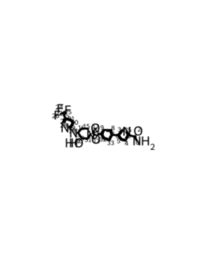 NC(=O)c1ccc(-c2ccc(S(=O)(=O)N3CC[C@@H](Nc4ccc(C(F)(F)F)cn4)[C@@H](O)C3)cc2)cn1